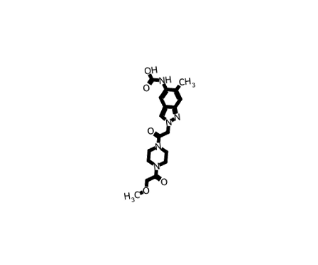 COCC(=O)N1CCN(C(=O)Cn2cc3cc(NC(=O)O)c(C)cc3n2)CC1